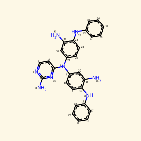 Nc1nccc(N(c2ccc(Nc3ccccc3)c(N)c2)c2ccc(Nc3ccccc3)c(N)c2)n1